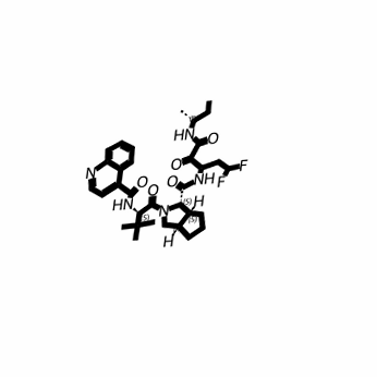 CC[C@@H](C)NC(=O)C(=O)C(CC(F)F)NC(=O)[C@@H]1[C@H]2CCC[C@H]2CN1C(=O)[C@@H](NC(=O)c1ccnc2ccccc12)C(C)(C)C